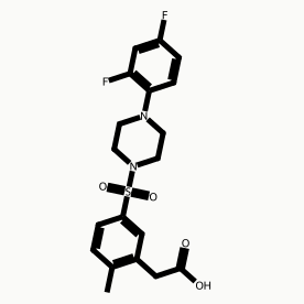 Cc1ccc(S(=O)(=O)N2CCN(c3ccc(F)cc3F)CC2)cc1CC(=O)O